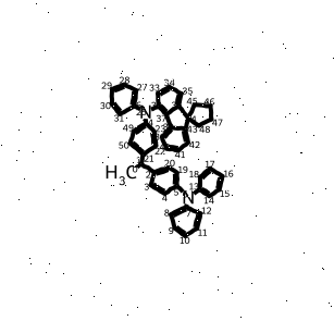 CC(c1ccc(N(c2ccccc2)c2ccccc2)cc1)c1ccc(N(c2ccccc2)c2cccc3c2-c2ccccc2C32CCCC2)cc1